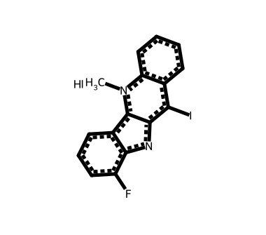 Cn1c2c3cccc(F)c3nc-2c(I)c2ccccc21.I